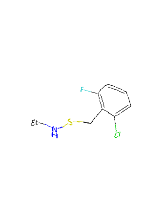 CCNSCc1c(F)cccc1Cl